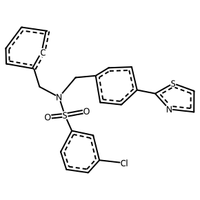 O=S(=O)(c1cccc(Cl)c1)N(Cc1ccccc1)Cc1ccc(-c2nccs2)cc1